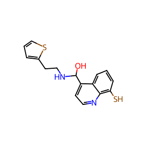 OC(NCCc1cccs1)c1ccnc2c(S)cccc12